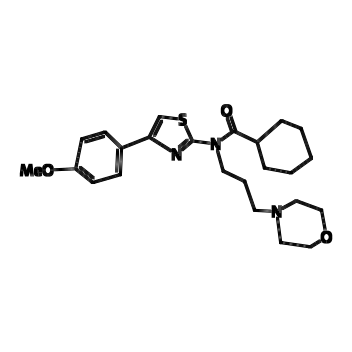 COc1ccc(-c2csc(N(CCCN3CCOCC3)C(=O)C3CCCCC3)n2)cc1